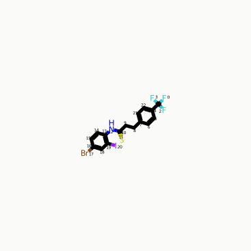 FC(F)(F)c1ccc(CCC(=S)Nc2ccc(Br)cc2I)cc1